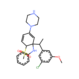 COc1cc(Cl)cc(C(C)C2(Nc3ccccc3)C=C(N3CCNCC3)C=CC2S(C)(=O)=O)c1